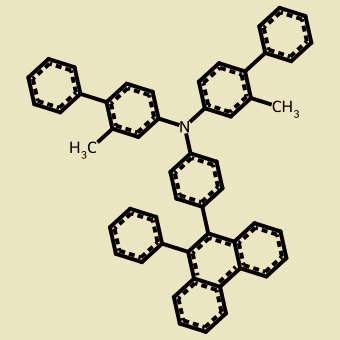 Cc1cc(N(c2ccc(-c3c(-c4ccccc4)c4ccccc4c4ccccc34)cc2)c2ccc(-c3ccccc3)c(C)c2)ccc1-c1ccccc1